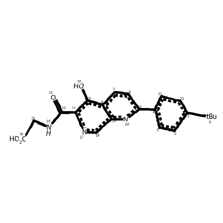 CC(C)(C)c1ccc(-c2ccc3c(O)c(C(=O)NCC(=O)O)ncc3n2)cc1